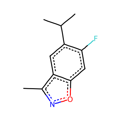 Cc1noc2cc(F)c(C(C)C)cc12